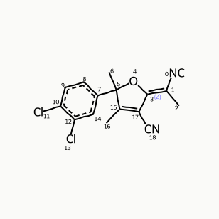 [C-]#[N+]/C(C)=C1\OC(C)(c2ccc(Cl)c(Cl)c2)C(C)=C1C#N